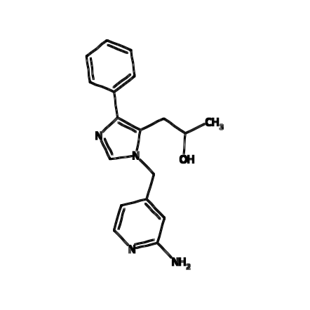 CC(O)Cc1c(-c2ccccc2)ncn1Cc1ccnc(N)c1